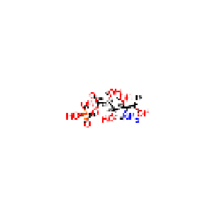 C[C@@H](O)[C@@](N)(O)[C@H](O)[C@@H](O)C(=O)OP(=O)(O)O